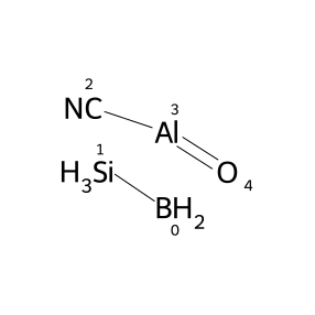 B[SiH3].N#[C][Al]=[O]